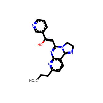 O=C(O)CCc1ccc2c(n1)N=C(/C=C(\O)c1cccnc1)N1CCN=C21